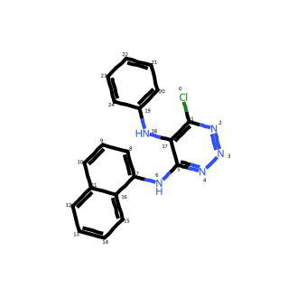 Clc1nnnc(Nc2cccc3ccccc23)c1Nc1ccccc1